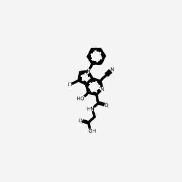 N#Cc1nc(C(=O)NCC(=O)O)c(O)c2c(Cl)cn(-c3ccccc3)c12